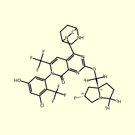 [2H]C1([2H])CC[C@@]2(C([2H])([2H])Oc3nc(N4CC5CCC4CN5)c4cc(C(F)(F)F)n(-c5cc(O)cc(Cl)c5C(F)(F)F)c(=O)c4n3)C[C@@H](F)CN12